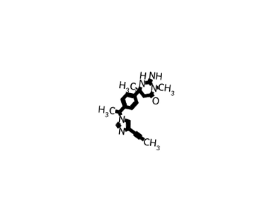 CC#Cc1cn(C(C)c2ccc([C@]3(C)CC(=O)N(C)C(=N)N3)cc2)cn1